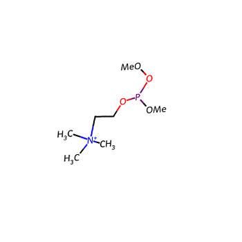 COOP(OC)OCC[N+](C)(C)C